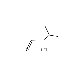 CC(C)CC=O.Cl